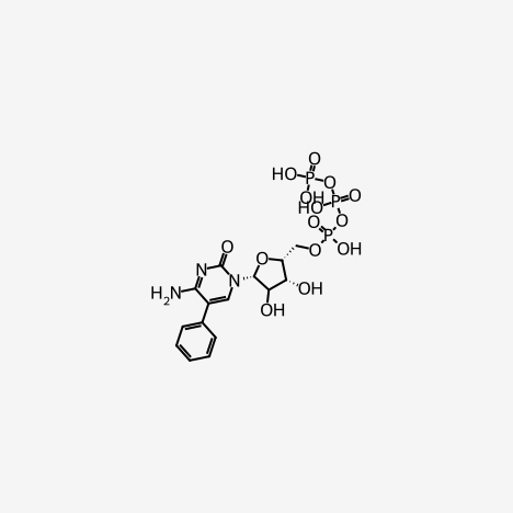 Nc1nc(=O)n([C@@H]2O[C@H](COP(=O)(O)OP(=O)(O)OP(=O)(O)O)[C@H](O)C2O)cc1-c1ccccc1